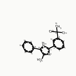 Cc1nc(-c2cccc(C(C)(Cl)Cl)c2)[nH]c1-c1ccccc1